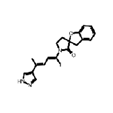 C/C(=C\C=C(/I)N1CCC2(Cc3ccccc3O2)C1=O)c1cn[nH]c1